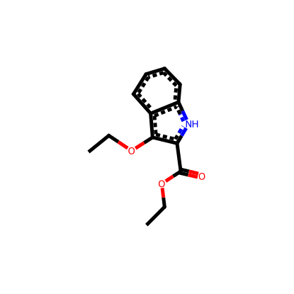 CCOC(=O)c1[nH]c2ccccc2c1OCC